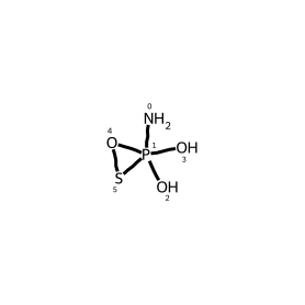 NP1(O)(O)OS1